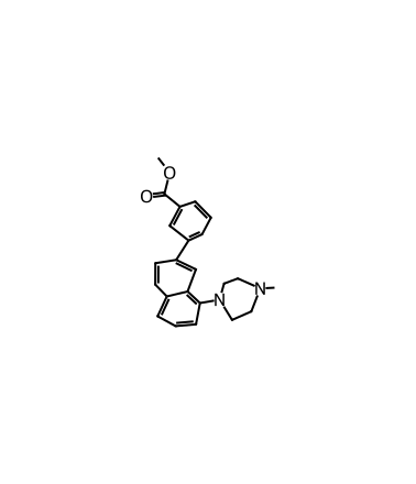 COC(=O)c1cccc(-c2ccc3cccc(N4CCN(C)CC4)c3c2)c1